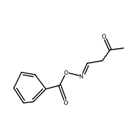 CC(=O)CC=NOC(=O)c1ccccc1